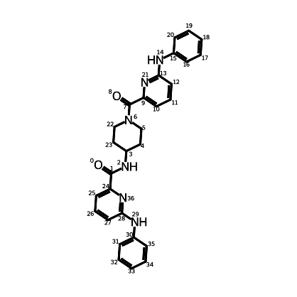 O=C(NC1CCN(C(=O)c2cccc(Nc3ccccc3)n2)CC1)c1cccc(Nc2ccccc2)n1